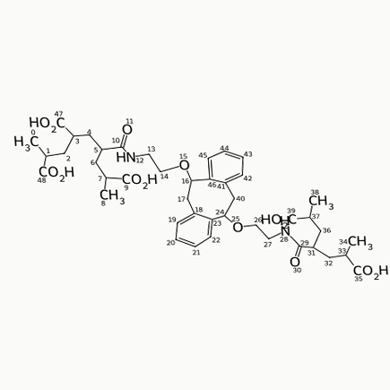 CC(CC(CC(CC(C)C(=O)O)C(=O)NCCOC1Cc2ccccc2C(OCCNC(=O)C(CC(C)C(=O)O)CC(C)C(=O)O)Cc2ccccc21)C(=O)O)C(=O)O